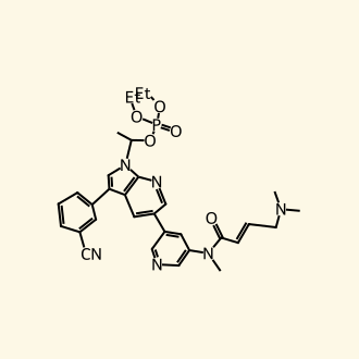 CCOP(=O)(OCC)OC(C)n1cc(-c2cccc(C#N)c2)c2cc(-c3cncc(N(C)C(=O)C=CCN(C)C)c3)cnc21